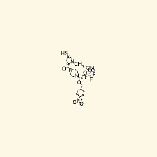 CN1C[C@@H](S)C[C@H]1C(=O)N1CCN(C(=O)OCc2ccc([N+](=O)[O-])cc2)CC1.O=S(=O)(O)C(F)(F)F